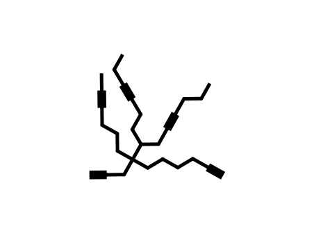 C#CCCCCC(CC#C)(CCCC#CC)[C](CC#CCCC)CCC#CCC